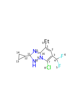 CCC1=CC(C(F)F)=C(Cl)N2NC(C3CC3)N=C12